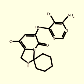 CCc1c(N)ncnc1Nc1cc(Cl)c2n(c1=O)C1(CCCCC1)NC2